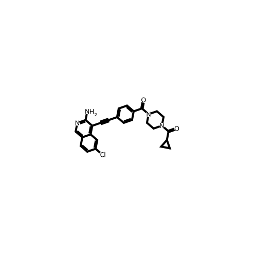 Nc1ncc2ccc(Cl)cc2c1C#Cc1ccc(C(=O)N2CCN(C(=O)C3CC3)CC2)cc1